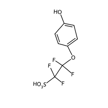 O=S(=O)(O)C(F)(F)C(F)(F)Oc1ccc(O)cc1